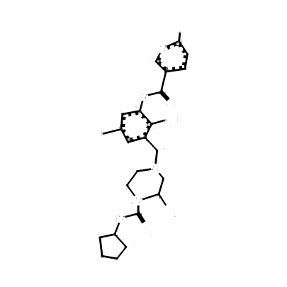 Cc1ccc(C(=O)Nc2cc(Cl)cc(CN3CCN(C(=O)NC4CCCC4)C(C)C3)c2C)cn1